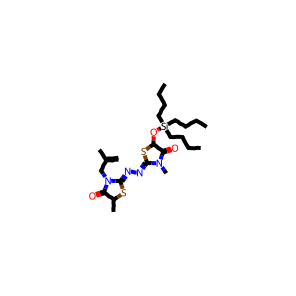 C=C(C)CN1C(=O)C(C)SC1=NN=C1SC(O[Si](CCCC)(CCCC)CCCC)C(=O)N1C